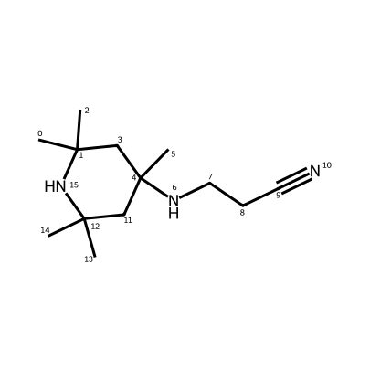 CC1(C)CC(C)(NCCC#N)CC(C)(C)N1